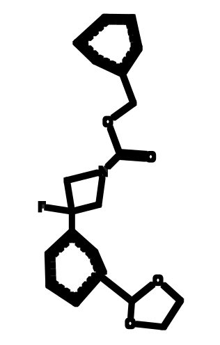 O=C(OCc1ccccc1)N1CC(F)(c2cccc(C3OCCO3)c2)C1